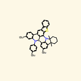 CC(C)(C)c1ccc(N2B3c4cc(C(C)(C)C)cc5c4N(c4c3c(cc3c4sc4ccccc43)-c3ccc(C(C)(C)C)cc32)C2(C)CCCCC52C)cc1